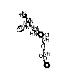 Cn1cc(-n2cnc3c(NCc4nc5cc(Cl)c(NCCOCCNC(=O)OCc6ccccc6)cc5[nH]4)nc(N4CCOCC4)nc32)cn1